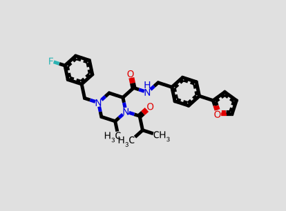 CC(C)C(=O)N1C(C)CN(Cc2cccc(F)c2)CC1C(=O)NCc1ccc(-c2ccco2)cc1